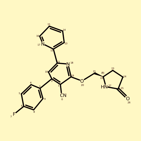 N#Cc1c(-c2ccc(F)cc2)cc(-c2ccccn2)nc1OC[C@H]1CCC(=O)N1